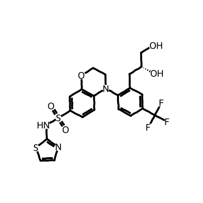 O=S(=O)(Nc1nccs1)c1ccc2c(c1)OCCN2c1ccc(C(F)(F)F)cc1C[C@@H](O)CO